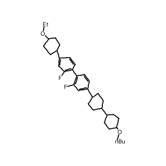 CCCCOC1CCC(C2CCC(c3ccc(-c4ccc(C5CCC(OCC)CC5)cc4F)c(F)c3)CC2)CC1